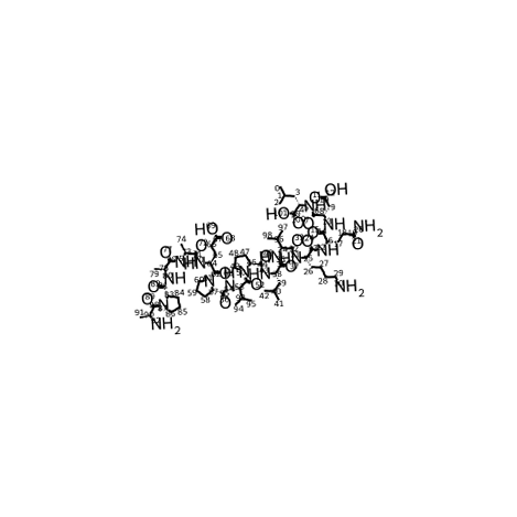 CC(C)C[C@H](NC(=O)[C@H](CC(=O)O)NC(=O)[C@H](CCC(N)=O)NC(=O)[C@H](CCCCN)NC(=O)[C@@H](NC(=O)[C@H](CC(C)C)NC(=O)[C@@H]1CCCN1C(=O)[C@@H](NC(=O)[C@@H]1CCCN1C(=O)[C@H](CCC(=O)O)NC(=O)[C@H](C)NC(=O)[C@H](C)NC(=O)[C@@H]1CCCN1C(=O)[C@H](C)N)C(C)C)C(C)C)C(=O)O